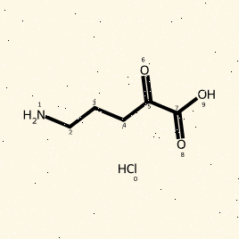 Cl.NCCCC(=O)C(=O)O